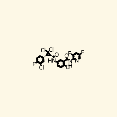 O=C(Nc1ncc(F)cc1F)c1cc(NC(=O)[C@H]2[C@H](c3ccc(F)c(Cl)c3)C2(Cl)Cl)ccc1Cl